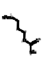 CCCCCCCCOC(=O)CCCC